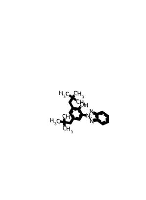 CC(C)(C)Cc1cc(CC(C)(C)C)c(O)c(-n2nc3ccccc3n2)c1